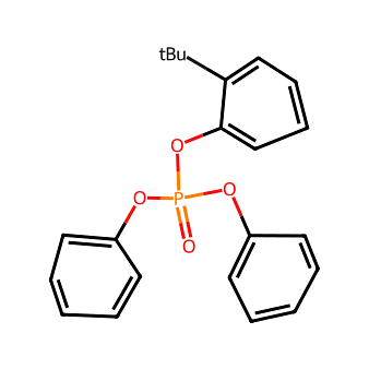 CC(C)(C)c1ccccc1OP(=O)(Oc1ccccc1)Oc1ccccc1